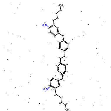 CCCCCc1cc(Cc2ccc(CCc3ccc(Cc4ccc(N)c(CCCCC)c4)cc3)cc2)ccc1N